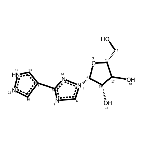 OC[C@H]1O[C@@H](n2cnc(-c3cn[nH]c3)n2)[C@@H](O)C1O